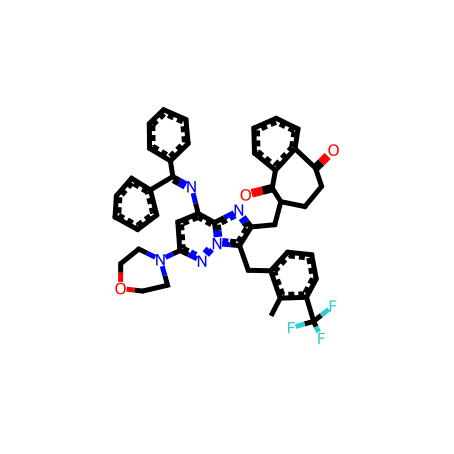 Cc1c(Cc2c(CC3CCC(=O)c4ccccc4C3=O)nc3c(N=C(c4ccccc4)c4ccccc4)cc(N4CCOCC4)nn23)cccc1C(F)(F)F